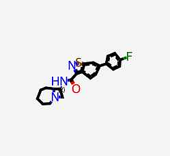 O=C(N[C@@H]1CN2CCCCCC12)c1nsc2cc(-c3ccc(F)cc3)ccc12